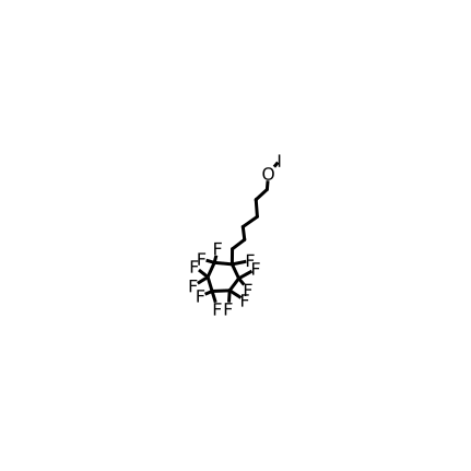 FC1(F)C(F)(F)C(F)(F)C(F)(CCCCCCOI)C(F)(F)C1(F)F